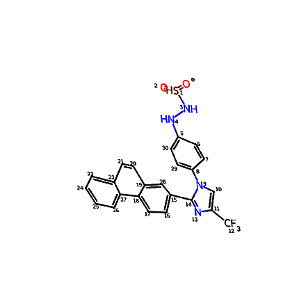 O=[SH](=O)NNc1ccc(-n2cc(C(F)(F)F)nc2-c2ccc3c(ccc4ccccc43)c2)cc1